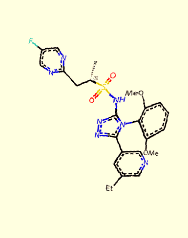 CCc1cncc(-c2nnc(NS(=O)(=O)[C@@H](C)Cc3ncc(F)cn3)n2-c2c(OC)cccc2OC)c1